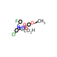 CC#CCOc1ccc(S(=O)(=O)NC(Cc2cn(Cc3ccccc3F)c3ccc(Cl)cc23)C(=O)O)cc1